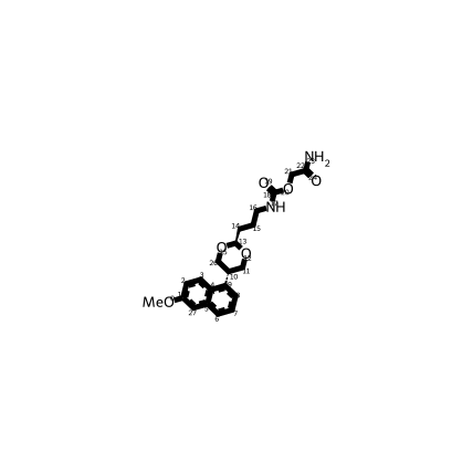 COc1ccc2c(cccc2[C@H]2CO[C@H](CCCNC(=O)OCC(N)=O)OC2)c1